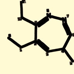 CCC1=CC(C)C=NN=C1CC